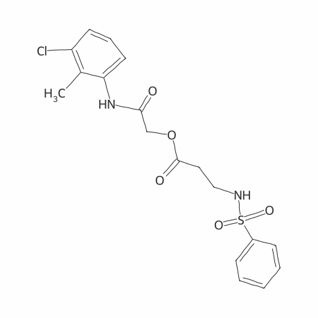 Cc1c(Cl)cccc1NC(=O)COC(=O)CCNS(=O)(=O)c1ccccc1